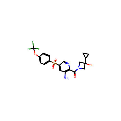 Nc1cc(S(=O)(=O)c2ccc(OC(F)(F)F)cc2)cnc1C(=O)N1CC(O)(C2CC2)C1